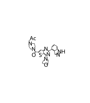 CC(=O)CN1CCN(C(=O)c2cc3nc(-c4cccc5[nH]ncc45)nc(N4CCOCC4)c3s2)CC1